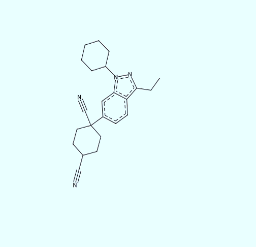 CCc1nn(C2CCCCC2)c2cc(C3(C#N)CCC(C#N)CC3)ccc12